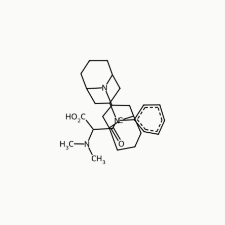 CN(C)C(C(=O)O)C(=O)N(c1ccccc1)C1CC2CCCC(C1)N2C1CC2CCCC(C2)C1